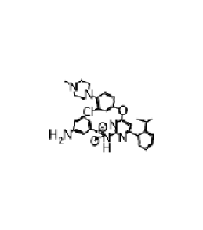 CC(C)c1ccccc1-c1cc(Oc2ccc(N3CCN(C)CC3)c(Cl)c2)nc(NS(=O)(=O)c2cccc(N)c2)n1